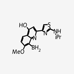 Bc1c(OC)ccc2c(O)cc(-c3csc(NC(C)C)n3)nc12